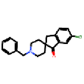 O=C1c2cc(Cl)ccc2CC12CCN(Cc1ccccc1)CC2